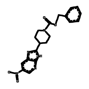 O=C(OCc1ccccc1)N1CCC(c2nc3cc([N+](=O)[O-])cnc3[nH]2)CC1